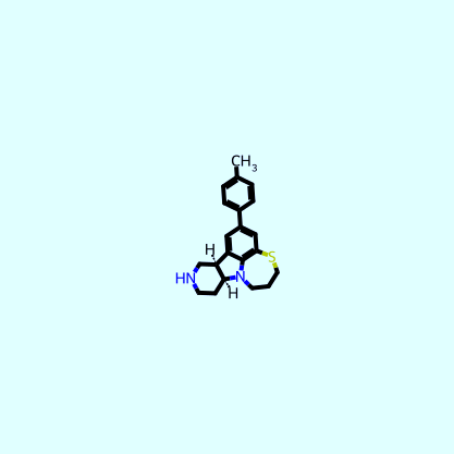 Cc1ccc(-c2cc3c4c(c2)[C@@H]2CNCC[C@@H]2N4CCCS3)cc1